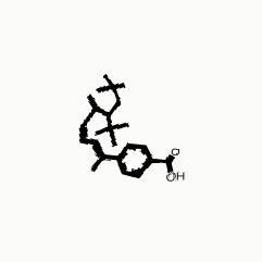 C/C(=C\C=C/C(C)C(CC(C)(C)C)C(C)(C)C)c1ccc(C(=O)O)cc1